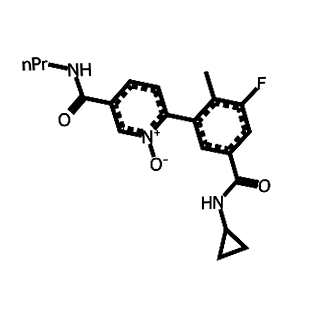 CCCNC(=O)c1ccc(-c2cc(C(=O)NC3CC3)cc(F)c2C)[n+]([O-])c1